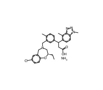 CC[C@@H]1CN(Cc2cc(C(CC(=O)O)c3ccc4c(nnn4C)c3C)ccc2C)Cc2cc(Cl)ccc2O1.N